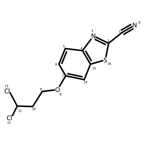 N#Cc1nc2ccc(OCCC(Cl)Cl)cc2s1